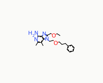 CCOCc1nc2c(N)nc(C)c(C)c2n1CCOCCCc1ccccc1